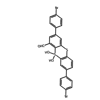 O=Cc1cc(-c2ccc(Br)cc2)cc2c1S(O)(O)c1cc(-c3ccc(Br)cc3)ccc1S2